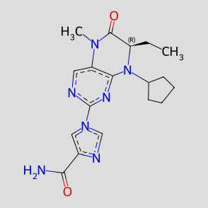 CC[C@@H]1C(=O)N(C)c2cnc(-n3cnc(C(N)=O)c3)nc2N1C1CCCC1